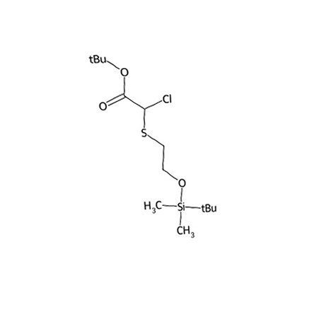 CC(C)(C)OC(=O)C(Cl)SCCO[Si](C)(C)C(C)(C)C